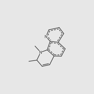 CC1C=Cc2ccc3cccnc3c2N1C